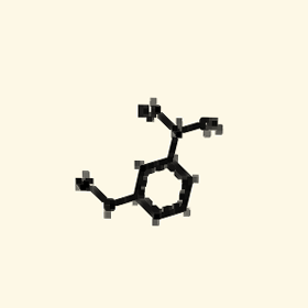 CN(P)c1cccc(OC#N)c1